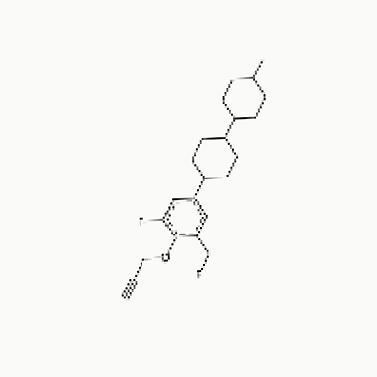 C#CCOc1c(F)cc(C2CCC(C3CCC(C)CC3)CC2)cc1CF